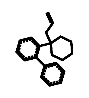 C=CCC1(c2ccccc2-c2ccccc2)CCCCC1